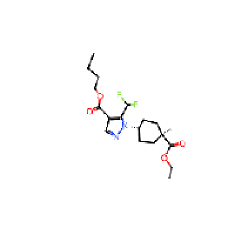 CCCCOC(=O)c1cnn([C@H]2CC[C@](C)(C(=O)OCC)CC2)c1C(F)F